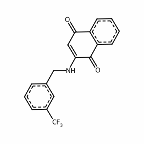 O=C1C=C(NCc2cccc(C(F)(F)F)c2)C(=O)c2ccccc21